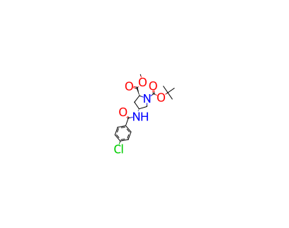 COC(=O)[C@@H]1C[C@@H](NC(=O)c2ccc(Cl)cc2)CN1C(=O)OC(C)(C)C